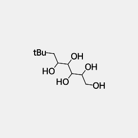 CC(C)(C)CC(O)C(O)C(O)C(O)CO